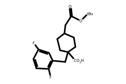 CC(C)(C)OC(=O)CC1CCC(Cc2cc(F)ccc2F)(C(=O)O)CC1